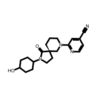 N#Cc1ccnc(N2CCC[C@]3(CCN(C4CCC(O)CC4)C3=O)C2)c1